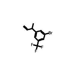 C=C[C](C)c1cc(Br)cc(C(F)(F)F)c1